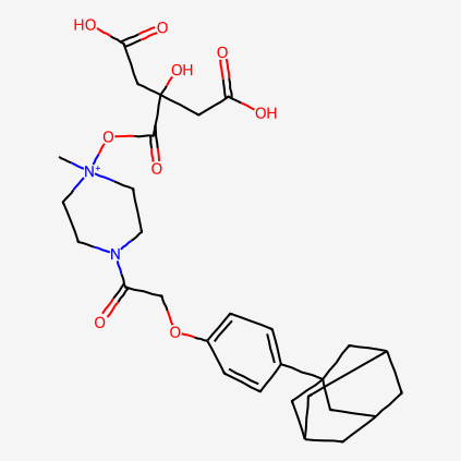 C[N+]1(OC(=O)C(O)(CC(=O)O)CC(=O)O)CCN(C(=O)COc2ccc(C34CC5CC(CC(C5)C3)C4)cc2)CC1